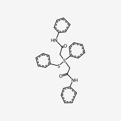 O=C(CS(CC(=O)Nc1ccccc1)(Sc1ccccc1)c1ccccc1)Nc1ccccc1